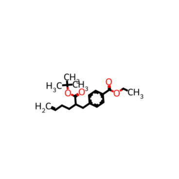 C=CCCC(Cc1ccc(C(=O)OCC)cc1)C(=O)OC(C)(C)C